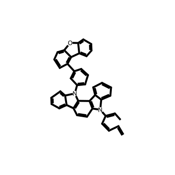 C=C/C=C\C(=C/C)n1c2ccccc2c2c1ccc1c3ccccc3n(-c3cccc(-c4cccc5oc6ccccc6c45)c3)c12